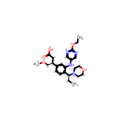 CCOc1ncc(Nc2cc([C@@H](COC)CC(=O)O)ccc2[C@H](CC)N2CCOCC2)cn1